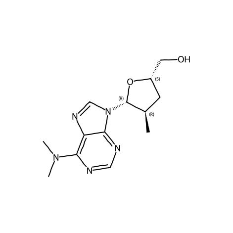 C[C@@H]1C[C@@H](CO)O[C@H]1n1cnc2c(N(C)C)ncnc21